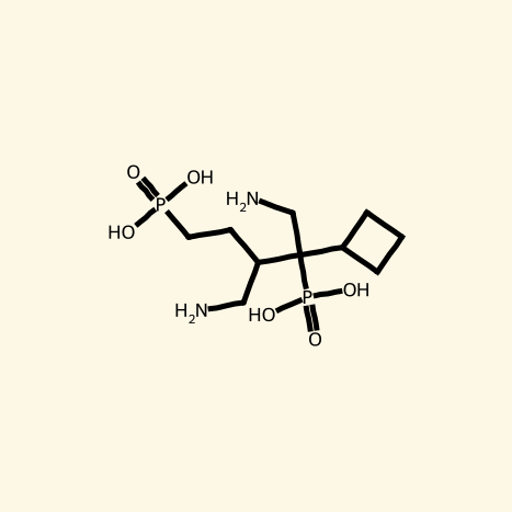 NCC(CCP(=O)(O)O)C(CN)(C1CCC1)P(=O)(O)O